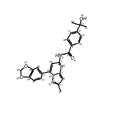 Cc1cc2nc(NC(=O)c3ccc(C(C)(C)O)cc3)cc(-c3ccc4c(c3)OCO4)n2n1